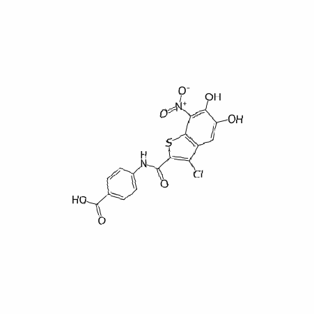 O=C(O)c1ccc(NC(=O)c2sc3c([N+](=O)[O-])c(O)c(O)cc3c2Cl)cc1